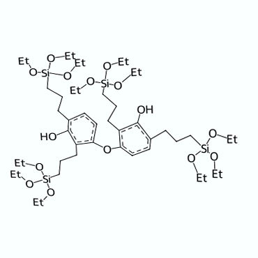 CCO[Si](CCCc1ccc(Oc2ccc(CCC[Si](OCC)(OCC)OCC)c(O)c2CCC[Si](OCC)(OCC)OCC)c(CCC[Si](OCC)(OCC)OCC)c1O)(OCC)OCC